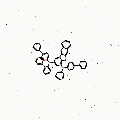 c1ccc(-c2ccc(N(c3cc(N(c4ccccc4)c4ccc(-c5ccccc5)cc4)c4oc5cc6ccccc6cc5c4c3)c3ccccc3-c3ccccc3)cc2)cc1